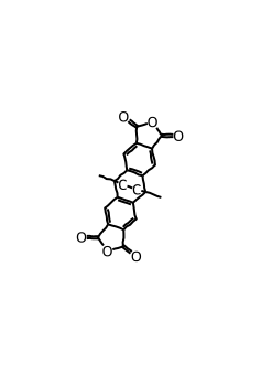 CC12CCC(C)(c3cc4c(cc31)C(=O)OC4=O)c1cc3c(cc12)C(=O)OC3=O